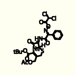 CC(=O)OCC1=C(C(=O)OC(C)(C)C)N2C(=O)[C@@H](NC(=O)C(=NOC(=O)C(Cl)Cl)c3ccccc3)[C@@H]2SC1